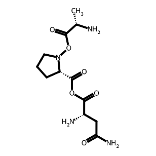 C[C@H](N)C(=O)ON1CCC[C@H]1C(=O)OC(=O)[C@@H](N)CC(N)=O